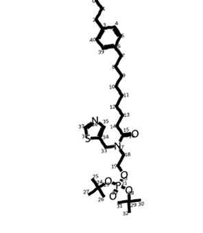 CCCc1ccc(CCCCCCCCC(=O)N(CCOP(=O)(OC(C)(C)C)OC(C)(C)C)Cc2cncs2)cc1